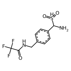 NC(c1ccc(CNC(=O)C(F)(F)F)cc1)[SH](=O)=O